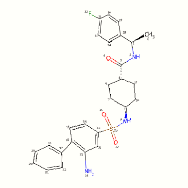 C[C@@H](NC(=O)[C@H]1CC[C@H](NS(=O)(=O)c2ccc(-c3ccccc3)c(N)c2)CC1)c1ccc(F)cc1